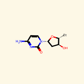 CC[C@H]1O[C@@H](n2ccc(N)nc2=O)C[C@@H]1O